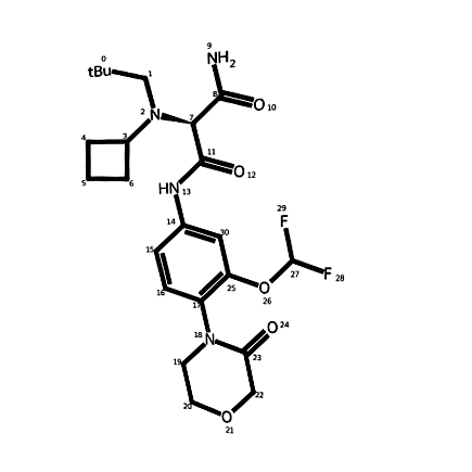 CC(C)(C)CN(C1CCC1)[C@@H](C(N)=O)C(=O)Nc1ccc(N2CCOCC2=O)c(OC(F)F)c1